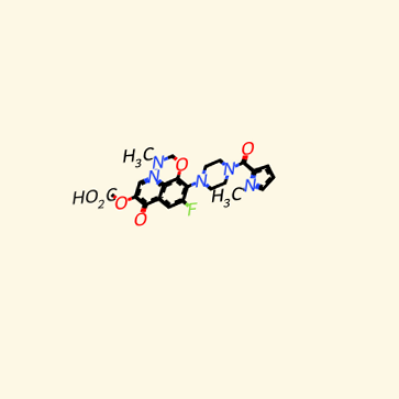 CN1COc2c(N3CCN(C(=O)c4cccn4C)CC3)c(F)cc3c(=O)c(OC(=O)O)cn1c23